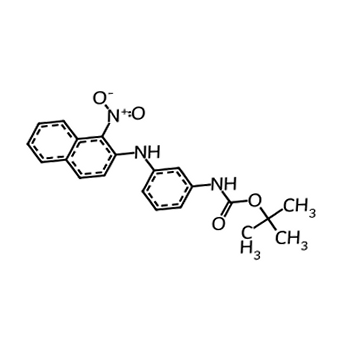 CC(C)(C)OC(=O)Nc1cccc(Nc2ccc3ccccc3c2[N+](=O)[O-])c1